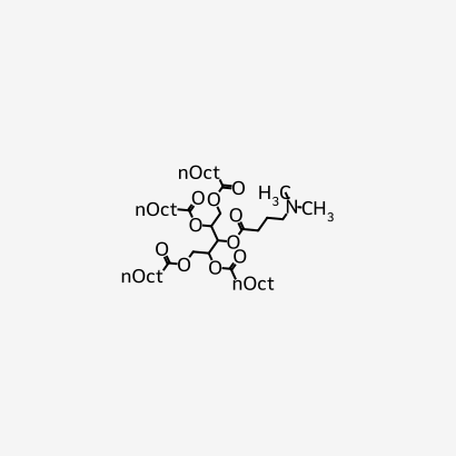 CCCCCCCCC(=O)OCC(OC(=O)CCCCCCCC)C(OC(=O)CCCN(C)C)C(COC(=O)CCCCCCCC)OC(=O)CCCCCCCC